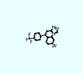 FC(F)(F)c1ccc(-c2cc3nncn3c3cc(Br)ccc23)cc1